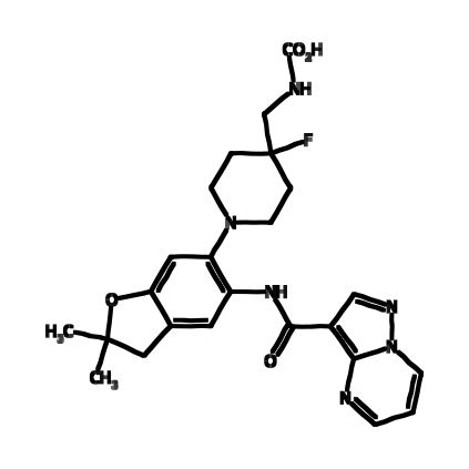 CC1(C)Cc2cc(NC(=O)c3cnn4cccnc34)c(N3CCC(F)(CNC(=O)O)CC3)cc2O1